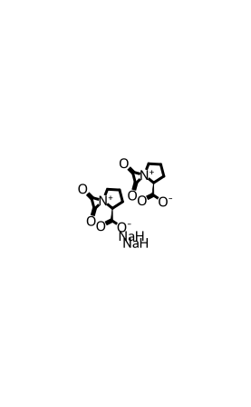 O=C([O-])[C@@H]1CCC[N+]12C(=O)C2=O.O=C([O-])[C@@H]1CCC[N+]12C(=O)C2=O.[NaH].[NaH]